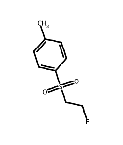 Cc1ccc(S(=O)(=O)CCF)cc1